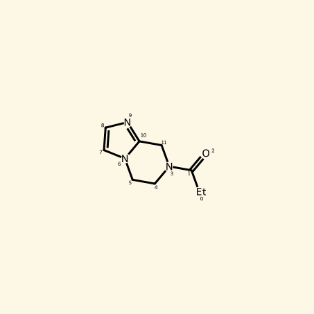 CCC(=O)N1CCn2ccnc2C1